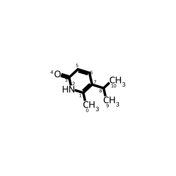 Cc1[nH]c(=O)ccc1C(C)C